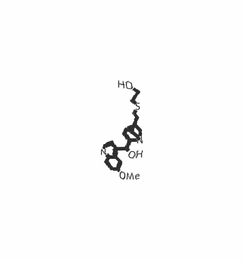 COc1ccc2nccc(C(O)C3CC4CCN3CC4CCSCCO)c2c1